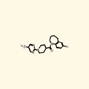 Cc1cnc(N2CCC(C(=O)N3CCCCc4cc(Cl)ccc43)CC2)nc1